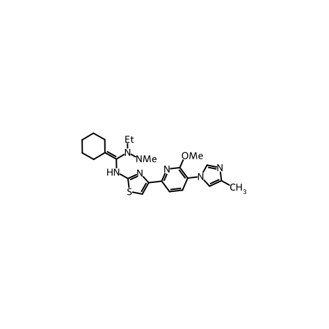 CCN(NC)C(Nc1nc(-c2ccc(-n3cnc(C)c3)c(OC)n2)cs1)=C1CCCCC1